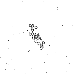 CC1(C)c2cc(-c3ccc(-n4c(C5=CCCC=C5)nc5ccccc54)cc3)c3ccccc3c2-c2ccc3c(c21)C(C)(C)C1CC(c2ccc(-n4c(-c5ccccc5)nc5ccccc54)cc2)=CC=C31